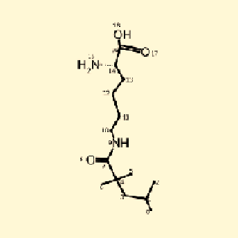 CC(C)CC(C)(C)C(=O)NCCCC[C@H](N)C(=O)O